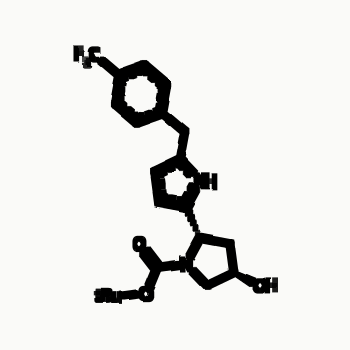 CC(C)(C)OC(=O)N1C[C@H](O)C[C@H]1c1ccc(Cc2ccc(C(F)(F)F)cc2)[nH]1